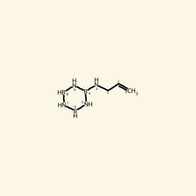 C=CCNB1NBNBN1